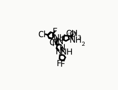 C[C@]1(C(N)=O)CC[C@@H](n2c(Nc3c(F)cc(Cl)cc3Cl)nc3cnc(NC4CCC(F)(F)CC4)nc32)CC1